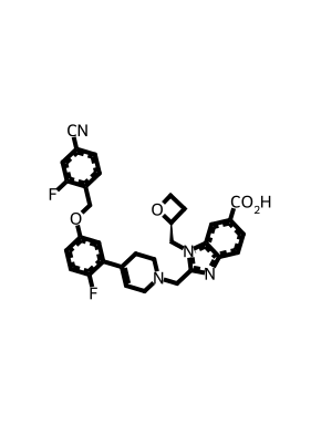 N#Cc1ccc(COc2ccc(F)c(C3=CCN(Cc4nc5ccc(C(=O)O)cc5n4C[C@@H]4CCO4)CC3)c2)c(F)c1